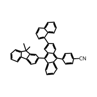 CC1(C)c2ccccc2-c2ccc(-c3c4ccccc4c(-c4ccc(C#N)cc4)c4ccc(-c5cccc6ccccc56)cc34)cc21